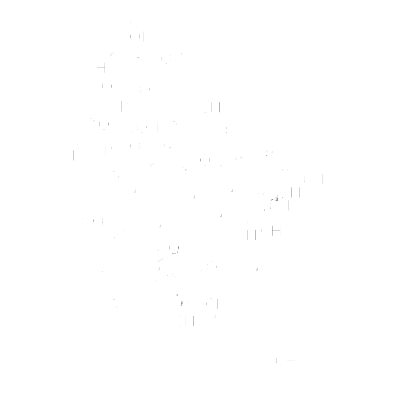 CCCCOC(=O)/C(C)=C\CC12OC(C)(C)C3CC(C=C4C(=O)c5c(OP(=O)(O)OP(=O)(O)OP(=O)(O)O)c6c(c(CC=C(C)C)c5OC431)OC(C)(CCC=C(C)C)C=C6)C2=O